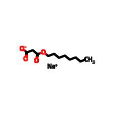 CCCCCCCCOC(=O)CC(=O)[O-].[Na+]